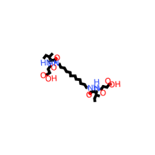 CCC(C)[C@H](NC(=O)CCC(=O)O)C(=O)NCCCCCCCCCCCCNC(=O)[C@@H](NC(=O)CCC(=O)O)C(C)CC